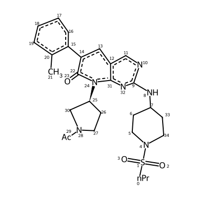 CCCS(=O)(=O)N1CCC(Nc2ncc3cc(-c4ccccc4C)c(=O)n([C@H]4CCN(C(C)=O)C4)c3n2)CC1